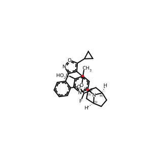 Cc1cc(N2[C@@H]3CC[C@H]2C[C@H](OCc2c(-c4ccccc4OC(F)F)noc2C2CC2)C3)ncc1C(=O)O